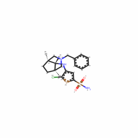 NS(=O)(=O)c1cc(N[C@@H]2[C@@H]3CC[C@H]2CN(Cc2ccccc2)C3)c(Cl)s1